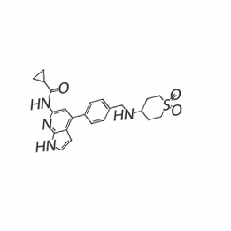 O=C(Nc1cc(-c2ccc(CNC3CCS(=O)(=O)CC3)cc2)c2cc[nH]c2n1)C1CC1